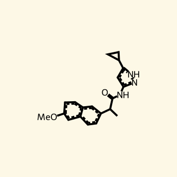 COc1ccc2cc(C(C)C(=O)Nc3cc(C4CC4)[nH]n3)ccc2c1